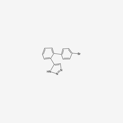 Brc1ccc(-c2ccccc2-c2cnn[nH]2)cc1